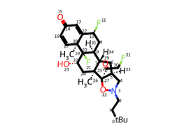 CC(C)(C)CCN1C[C@@H]2C[C@H]3[C@@H]4C[C@H](F)C5=CC(=O)C=C[C@]5(C)[C@@]4(F)[C@@H](O)C[C@]3(C)[C@]2(C(=O)CF)O1